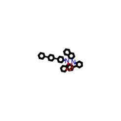 c1ccc(-c2ccc(-c3ccc(N(c4cccc5ccccc45)c4c(-n5c6ccccc6c6ccccc65)ccc5ccccc45)cc3)cc2)cc1